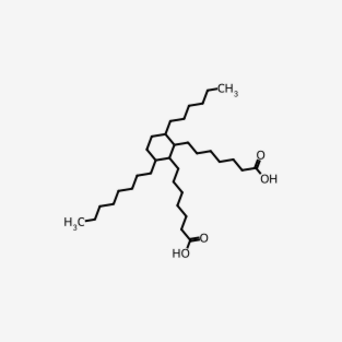 CCCCCCCCC1CCC(CCCCCC)C(CCCCCCC(=O)O)C1CCCCCCC(=O)O